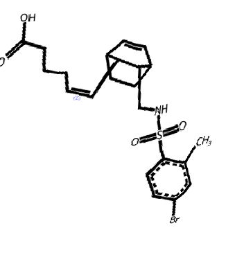 Cc1cc(Br)ccc1S(=O)(=O)NCC1C2C=CC(CC2)C1/C=C\CCCC(=O)O